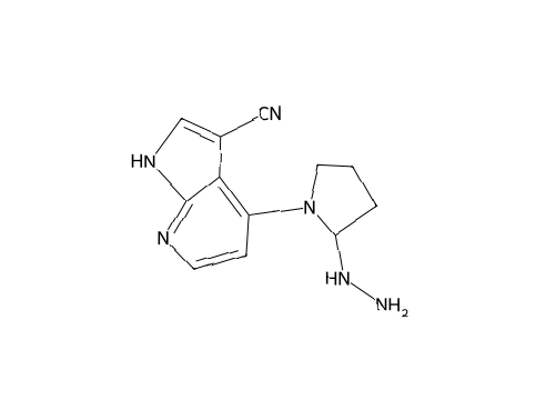 N#Cc1c[nH]c2nccc(N3CCCC3NN)c12